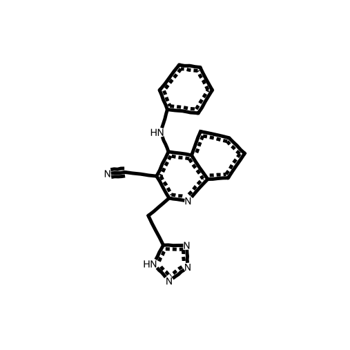 N#Cc1c(Cc2nnn[nH]2)nc2ccccc2c1Nc1ccccc1